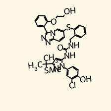 CSC(C)(C)c1cc(NC(=O)NCc2ccccc2Sc2ccc3nnc(-c4ccccc4OCCO)n3c2)n(-c2ccc(O)c(Cl)c2)n1